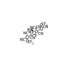 N#CC(C#N)=C1C(c2ccc(C#N)c(OC(F)(F)F)c2)=C(C#N)c2c(F)c3c(c(C(F)(F)F)c21)C(=C(C#N)C#N)C(c1ccc(C#N)c(OC(F)(F)F)c1)=C3C#N